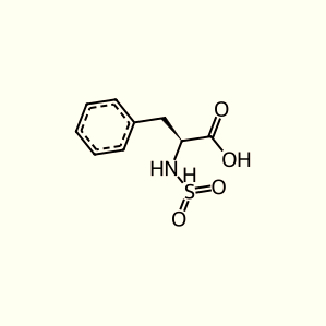 O=C(O)[C@H](Cc1ccccc1)N[SH](=O)=O